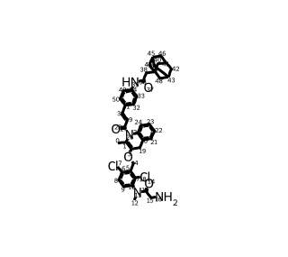 CC1=C(OCc2c(Cl)ccc(N(C)C(=O)CN)c2Cl)Cc2ccccc2N1C(=O)C=Cc1ccc(NC(=O)CC23CC4CC(CC(C4)C2)C3)cc1